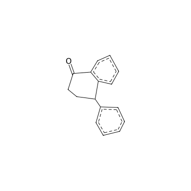 O=C1CCC(c2ccccc2)c2ccccc21